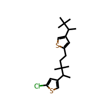 CC(c1csc(CCC(C)(C)C(C)c2csc(Cl)c2)c1)C(C)(C)C